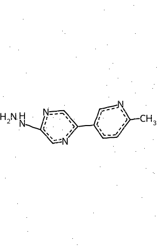 Cc1ccc(-c2cnc(NN)cn2)cn1